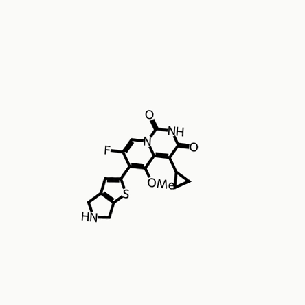 COc1c(-c2cc3c(s2)CNC3)c(F)cn2c(=O)[nH]c(=O)c(C3CC3)c12